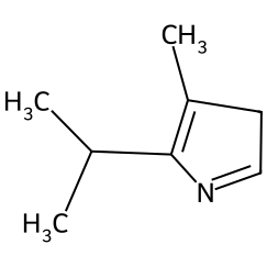 CC1=C(C(C)C)N=CC1